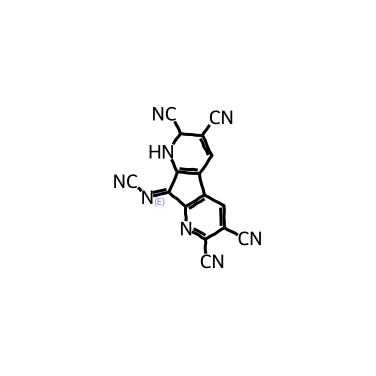 N#C/N=C1\C2=C(C=C(C#N)C(C#N)N2)c2cc(C#N)c(C#N)nc21